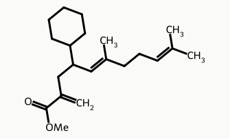 C=C(CC(/C=C(\C)CCC=C(C)C)C1CCCCC1)C(=O)OC